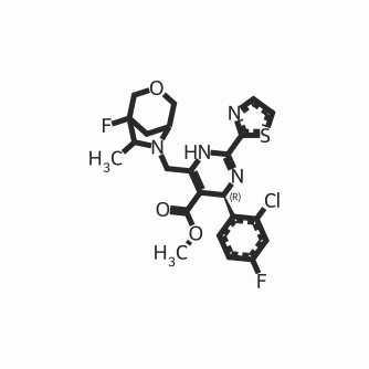 COC(=O)C1=C(CN2C3COCC(F)(C3)C2C)NC(c2nccs2)=N[C@H]1c1ccc(F)cc1Cl